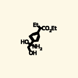 CCOC(=O)C(CC)c1ccc([C@](N)(O)CO)cc1